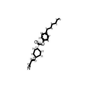 CCCCCCc1ccc(OC(=O)[C@H]2CC[C@H](C=CC#N)CC2)cc1